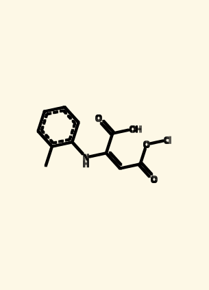 Cc1ccccc1NC(=CC(=O)OCl)C(=O)O